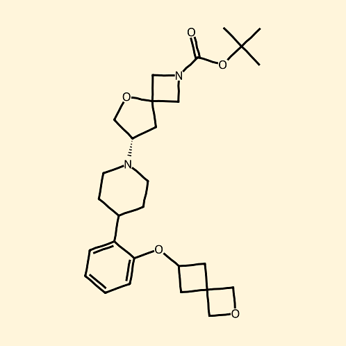 CC(C)(C)OC(=O)N1CC2(C[C@H](N3CCC(c4ccccc4OC4CC5(COC5)C4)CC3)CO2)C1